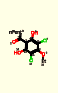 CCCCCC(=O)c1c(O)c(Cl)c(OCC)c(Cl)c1O